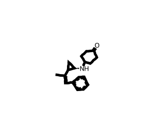 CC(=Cc1ccccc1)C1C[C@@H]1NC1CCC(=O)CC1